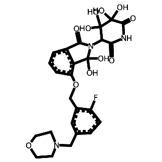 O=C1NC(=O)C(O)(O)C(O)(O)C1N1C(=O)c2cccc(OCc3cc(CN4CCOCC4)ccc3F)c2C1(O)O